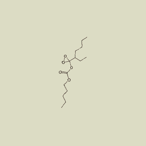 CCCCCOC(=O)OC1(C(CC)CCCC)OO1